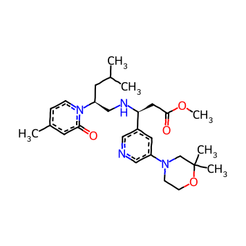 COC(=O)C[C@H](NC[C@H](CC(C)C)n1ccc(C)cc1=O)c1cncc(N2CCOC(C)(C)C2)c1